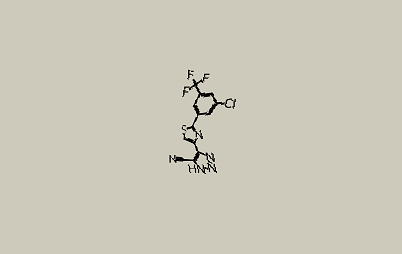 N#Cc1[nH]nnc1-c1csc(-c2cc(Cl)cc(C(F)(F)F)c2)n1